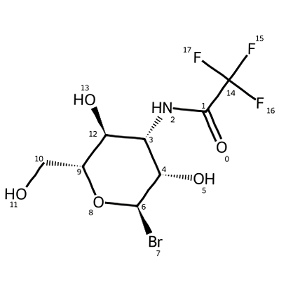 O=C(N[C@@H]1[C@H](O)[C@@H](Br)O[C@H](CO)[C@H]1O)C(F)(F)F